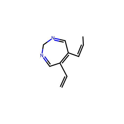 C=CC1=C(/C=C\C)C=NCN=C1